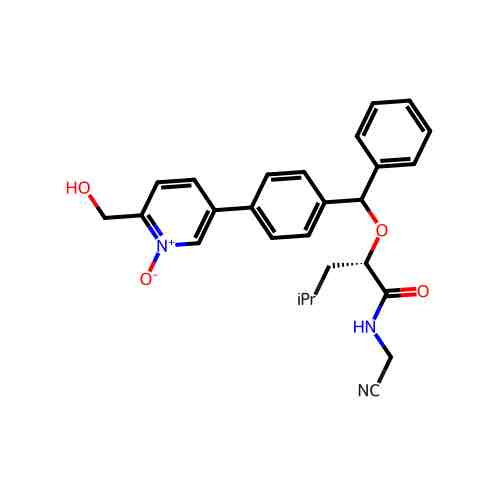 CC(C)C[C@H](OC(c1ccccc1)c1ccc(-c2ccc(CO)[n+]([O-])c2)cc1)C(=O)NCC#N